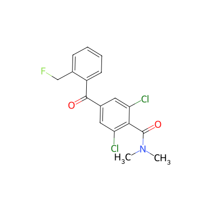 CN(C)C(=O)c1c(Cl)cc(C(=O)c2ccccc2CF)cc1Cl